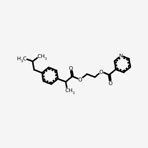 CC(C)Cc1ccc(C(C)C(=O)OCCOC(=O)c2cccnc2)cc1